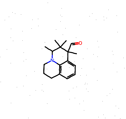 CC1N2CCCc3cccc(c32)C(C)(C=O)C1(C)C